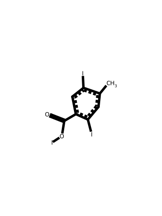 Cc1cc(I)c(C(=O)OI)cc1I